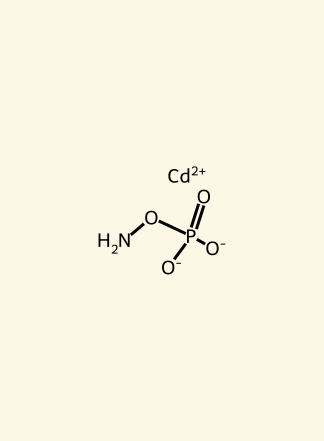 NOP(=O)([O-])[O-].[Cd+2]